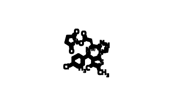 Cc1sc2c(c1C)C(c1ccc(Cl)cc1)=N[C@@H](CC(=O)ON1C(=O)CCC1=O)c1nncn1-2